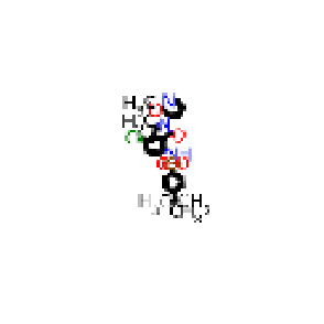 C=C1c2c(Cl)ccc(NS(=O)(=O)c3ccc(C(C)(C)C)cc3)c2C(=O)N1c1cccnc1OC